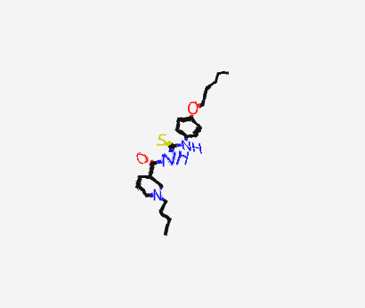 CCCCCOc1ccc(NC(=S)NC(=O)C2CCCN(CCCC)C2)cc1